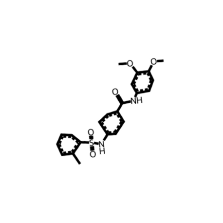 COc1ccc(NC(=O)c2ccc(NS(=O)(=O)c3ccccc3C)cc2)cc1OC